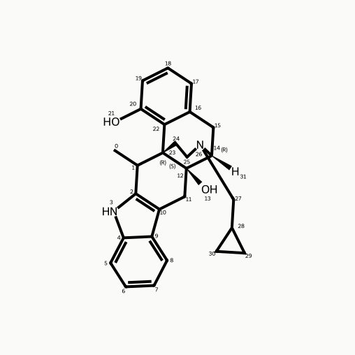 CC1c2[nH]c3ccccc3c2C[C@@]2(O)[C@H]3Cc4cccc(O)c4[C@@]12CCN3CC1CC1